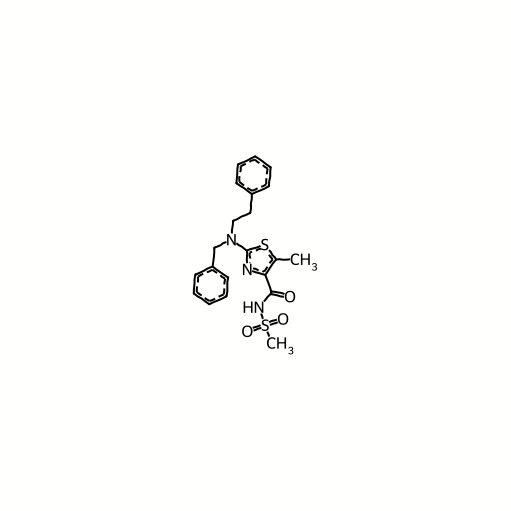 Cc1sc(N(CCc2ccccc2)Cc2ccccc2)nc1C(=O)NS(C)(=O)=O